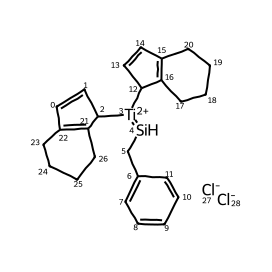 C1=C[CH]([Ti+2](=[SiH]Cc2ccccc2)[CH]2C=CC3=C2CCCC3)C2=C1CCCC2.[Cl-].[Cl-]